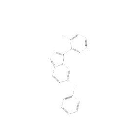 Clc1ccccc1-c1nnc2ccc(Oc3ccccc3)cn12